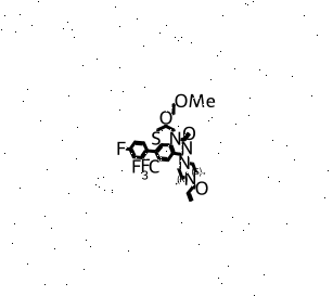 C=CC(=O)N1[C@H](C)CN(c2nc(=O)n3c4c(c(-c5ccc(F)cc5F)c(C(F)(F)F)cc24)SCC(OCCOC)C3)C[C@@H]1C